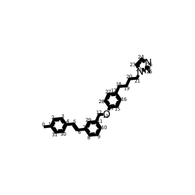 Cc1ccc(/C=C/c2cccc(COc3ccc(CCCCn4ccnn4)cc3)c2)cc1